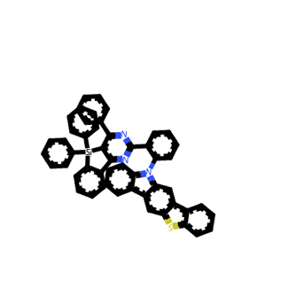 c1ccc(-c2nc(-c3ccccc3-n3c4ccccc4c4cc5sc6ccccc6c5cc43)nc3c2[Si](c2ccccc2)(c2ccccc2)c2ccccc2-3)cc1